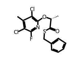 Cc1c(Cl)c(F)nc(O[C@H](C)C(=O)SCc2ccccc2)c1Cl